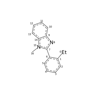 CCc1ccccc1-c1nc2ccccc2n1C